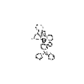 CC1=CC2=C3C(C1)B1c4ccc(N(c5ccccc5)c5ccccc5)cc4Oc4cccc(c41)N3C1(C)CCCCC21C